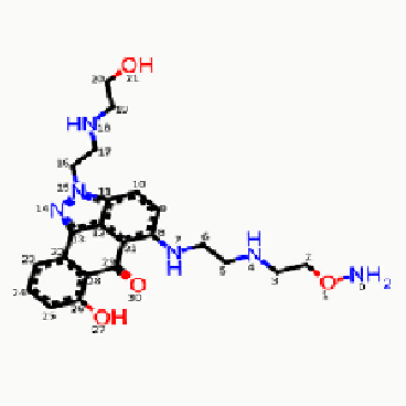 NOCCNCCNc1ccc2c3c(nn2CCNCCO)-c2cccc(O)c2C(=O)c13